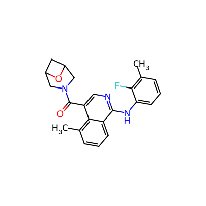 Cc1cccc(Nc2ncc(C(=O)N3CC4CC(C3)O4)c3c(C)cccc23)c1F